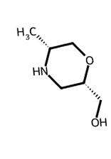 C[C@@H]1CO[C@H](CO)CN1